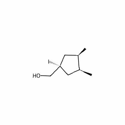 C[C@@H]1C[C@](I)(CO)C[C@@H]1C